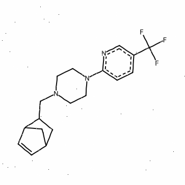 FC(F)(F)c1ccc(N2CCN(CC3CC4C=CC3C4)CC2)nc1